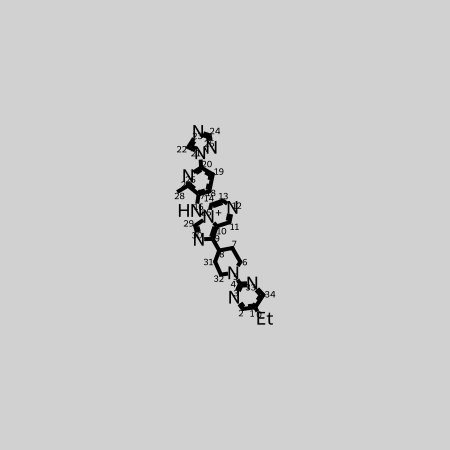 CCc1cnc(N2CCC(C3=C4C=NC=C[N+]4(Nc4ccc(-n5cncn5)nc4C)C=N3)CC2)nc1